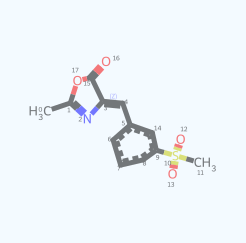 CC1=N/C(=C\c2cccc(S(C)(=O)=O)c2)C(=O)O1